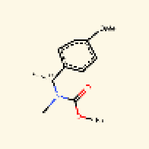 COc1ccc([C@@H](C)N(C)C(=O)OC(C)(C)C)cc1